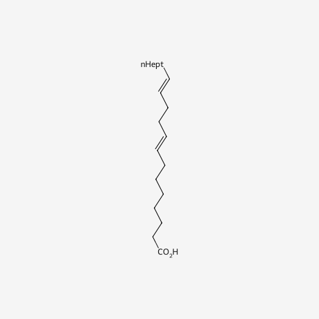 CCCCCCCC=CCCC=CCCCCCCC(=O)O